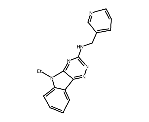 CCn1c2ccccc2c2nnc(NCc3cccnc3)nc21